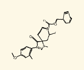 COc1ccc(NC(=O)C2(N(C)C)CCN(C(=O)OCc3ccccc3)C(I)C2)c(C)c1